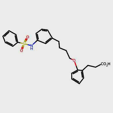 O=C(O)CCc1ccccc1OCCCCc1cccc(NS(=O)(=O)c2ccccc2)c1